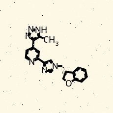 Cc1[nH]nnc1-c1ccnc(-c2cn(C[C@H]3COc4ccccc43)cn2)c1